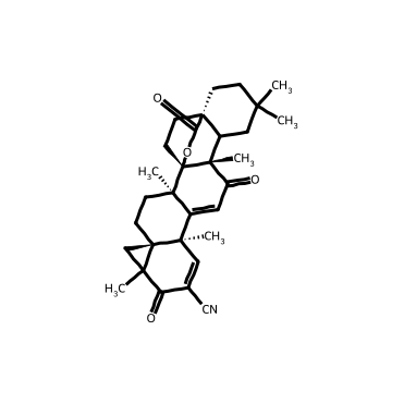 CC1(C)CC[C@@]23CC[C@@]4(OC2=O)[C@@](C)(C(=O)C=C2[C@@]5(C)C=C(C#N)C(=O)C6(C)C[C@]65CC[C@]24C)C3C1